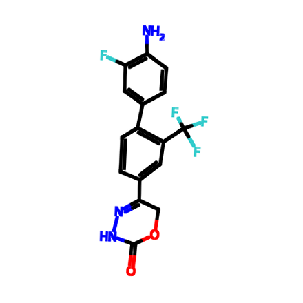 Nc1ccc(-c2ccc(C3=NNC(=O)OC3)cc2C(F)(F)F)cc1F